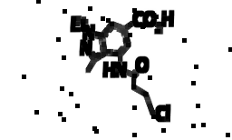 CCn1nc(C)c2c(NC(=O)CCCCl)cc(C(=O)O)cc21